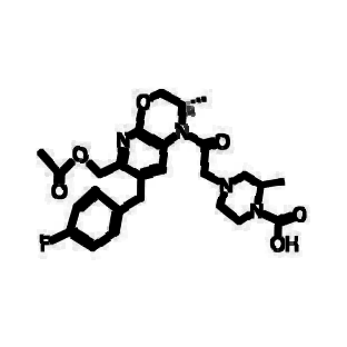 CC(=O)OCc1nc2c(cc1Cc1ccc(F)cc1)N(C(=O)CN1CCN(C(=O)O)C(C)C1)[C@@H](C)CO2